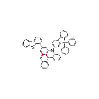 c1ccc(C2(c3ccccc3)c3ccccc3-c3ccc(N(c4cccc(-c5cccc6c5sc5ccccc56)c4)c4ccccc4-c4cccc5ccccc45)cc32)cc1